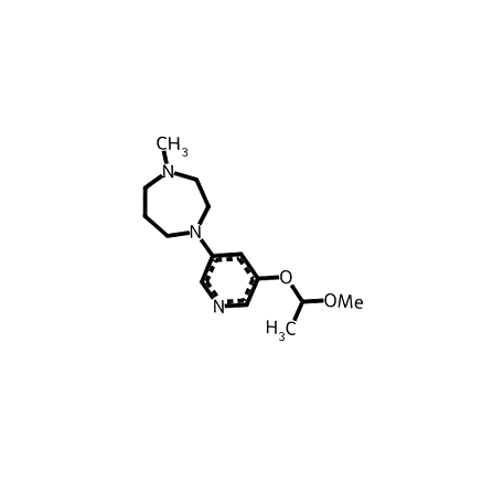 COC(C)Oc1cncc(N2CCCN(C)CC2)c1